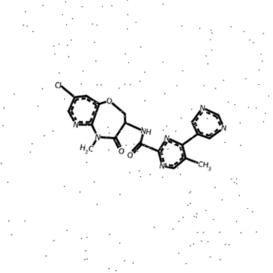 Cc1cnc(C(=O)NC2COc3cc(Cl)cnc3N(C)C2=O)nc1-c1cncnc1